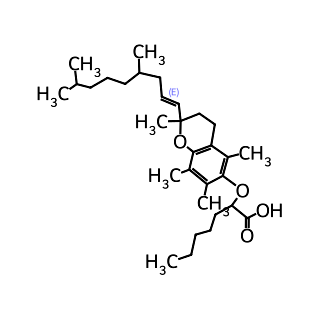 CCCCCC(Oc1c(C)c(C)c2c(c1C)CCC(C)(/C=C/CC(C)CCCC(C)C)O2)C(=O)O